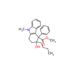 CCCCC1(O)CCc2c(c3ccccc3n2C)C1(C(=O)OC)c1ccccc1